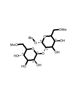 CCC(C)O[C@@H]1OC(COC)[C@@H](O)C(O)[C@@H]1O[C@@H]1OC(COC)[C@@H](O)C(O)[C@@H]1O